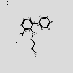 ClCCCOc1c(Cl)cccc1-c1ccccc1